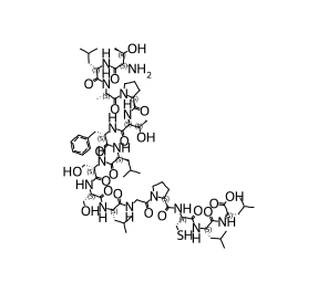 CC(C)C[C@H](NC(=O)[C@H](CC(C)C)NC(=O)[C@H](CS)NC(=O)[C@@H]1CCCN1C(=O)CNC(=O)[C@H](CC(C)C)NC(=O)[C@H](CO)NC(=O)[C@H](CO)NC(=O)[C@H](CC(C)C)NC(=O)[C@H](Cc1ccccc1)NC(=O)[C@@H](NC(=O)[C@@H]1CCCN1C(=O)[C@H](C)NC(=O)[C@H](CC(C)C)NC(=O)[C@@H](N)[C@@H](C)O)[C@@H](C)O)C(=O)O